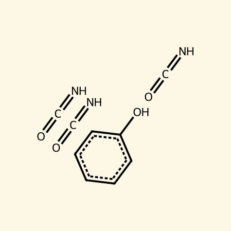 N=C=O.N=C=O.N=C=O.Oc1ccccc1